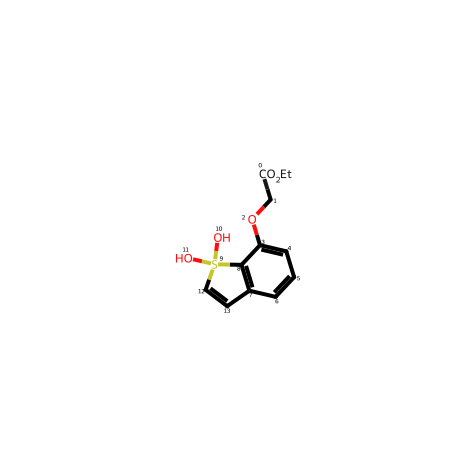 CCOC(=O)COc1cccc2c1S(O)(O)C=C2